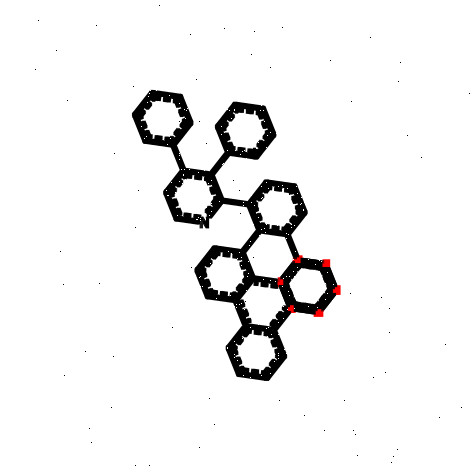 c1ccc(-c2cccc(-c3nccc(-c4ccccc4)c3-c3ccccc3)c2-c2cccc3c4ccccc4c4ccccc4c23)cc1